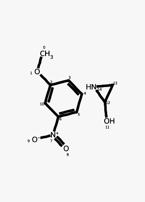 COc1cccc([N+](=O)[O-])c1.OC1CN1